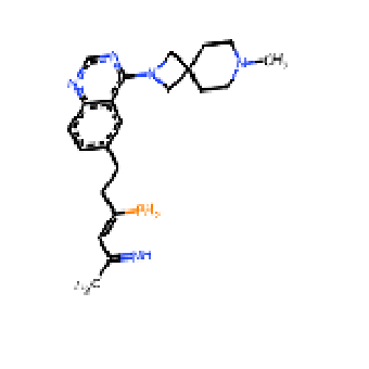 CC(=N)/C=C(\P)CCc1ccc2ncnc(N3CC4(CCN(C)CC4)C3)c2c1